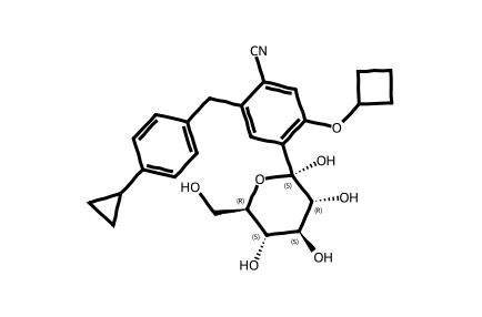 N#Cc1cc(OC2CCC2)c([C@]2(O)O[C@H](CO)[C@@H](O)[C@H](O)[C@H]2O)cc1Cc1ccc(C2CC2)cc1